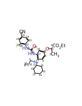 CCOC(=O)C(C)Oc1ccc(N(CC(C)C)C2CCCCC2)c(NC(=O)Nc2ccc(C#N)cc2F)c1